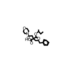 CCC(C)OC(=O)C(CCCc1ccccc1)(CC(=O)N1CCOCC1)C(=O)O